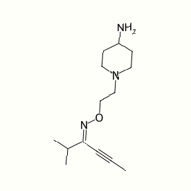 CC#C/C(=N\OCCN1CCC(N)CC1)C(C)C